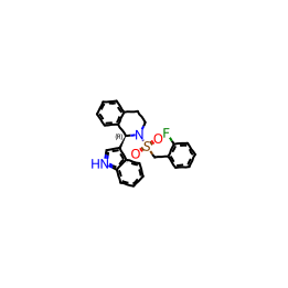 O=S(=O)(Cc1ccccc1F)N1CCc2ccccc2[C@@H]1c1c[nH]c2ccccc12